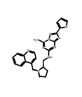 Nc1nc(NCC2CCCN2Cc2ccnc3ccccc23)nc2nc(-c3ccco3)nn12